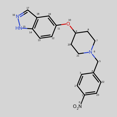 O=[N+]([O-])c1ccc(CN2CCC(Oc3ccc4[nH]ncc4c3)CC2)cc1